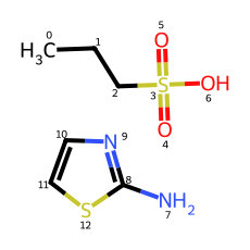 CCCS(=O)(=O)O.Nc1nccs1